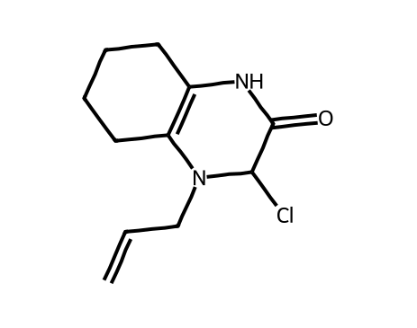 C=CCN1C2=C(CCCC2)NC(=O)C1Cl